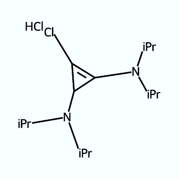 CC(C)N(C1=C(Cl)C1N(C(C)C)C(C)C)C(C)C.Cl